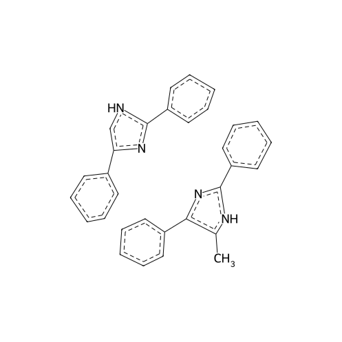 Cc1[nH]c(-c2ccccc2)nc1-c1ccccc1.c1ccc(-c2c[nH]c(-c3ccccc3)n2)cc1